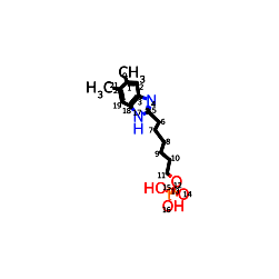 Cc1cc2nc(CCCCCCOP(=O)(O)O)[nH]c2cc1C